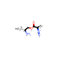 CC(=O)C(=[N+]=[N-])C(=O)OC[C@H](N)C(=O)O